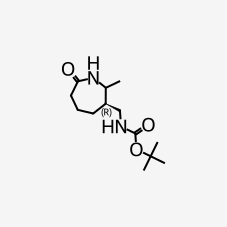 CC1NC(=O)CCC[C@@H]1CNC(=O)OC(C)(C)C